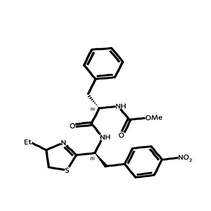 CCC1CSC([C@H](Cc2ccc([N+](=O)[O-])cc2)NC(=O)[C@H](Cc2ccccc2)NC(=O)OC)=N1